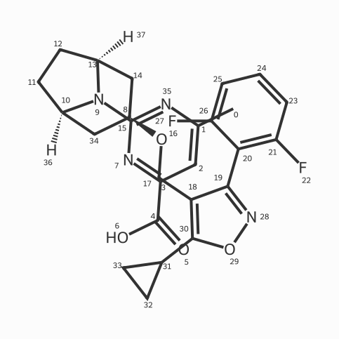 Cc1cc(C(=O)O)nc(N2[C@@H]3CC[C@H]2C[C@@H](OCc2c(-c4c(F)cccc4F)noc2C2CC2)C3)n1